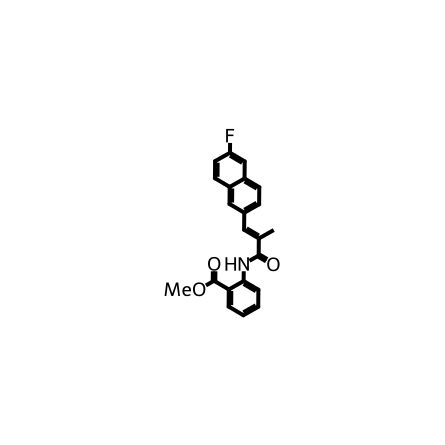 COC(=O)c1ccccc1NC(=O)/C(C)=C/c1ccc2cc(F)ccc2c1